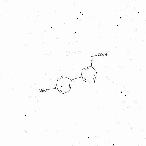 COc1ccc(-c2cccc(CC(=O)O)c2)cc1